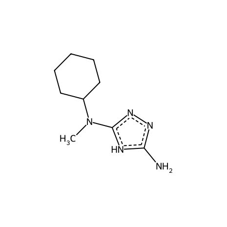 CN(c1nnc(N)[nH]1)C1CCCCC1